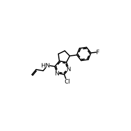 C=CCNc1nc(Cl)nc2c1CCC2c1ccc(F)cc1